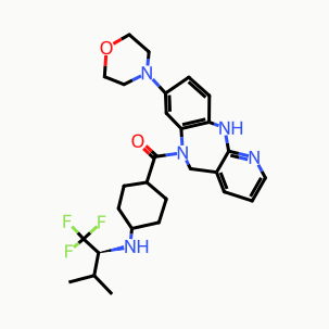 CC(C)[C@H](NC1CCC(C(=O)N2Cc3cccnc3Nc3ccc(N4CCOCC4)cc32)CC1)C(F)(F)F